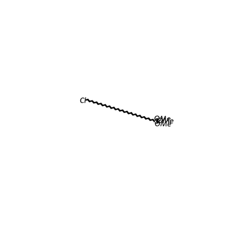 CO[Si](CCCCCCCCCCCCCCCCCCCCCCCCCCCCCCCCCl)(OC)OC